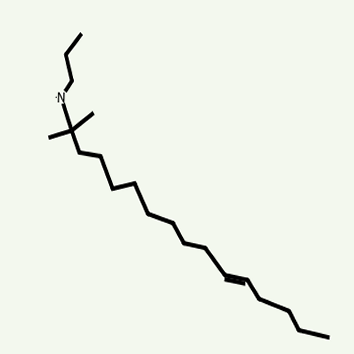 CCCCC=CCCCCCCCCC(C)(C)[N]CCC